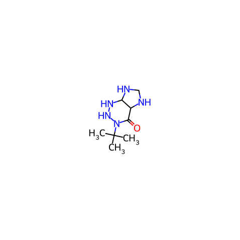 CC(C)(C)N1NNC2NCNC2C1=O